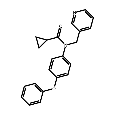 O=C(C1CC1)N(Cc1cccnc1)c1ccc(Oc2ccccc2)cc1